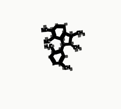 Cc1ccc(C)c(N2c3c(ccc(C#N)c3C#N)N(C)[C@@H]2C)c1